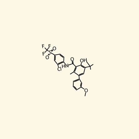 COc1cccc(-c2cc(C(C)(C)C)c(O)c(C(=O)Nc3ccc(S(=O)(=O)C(F)(F)F)cc3Cl)c2C)c1